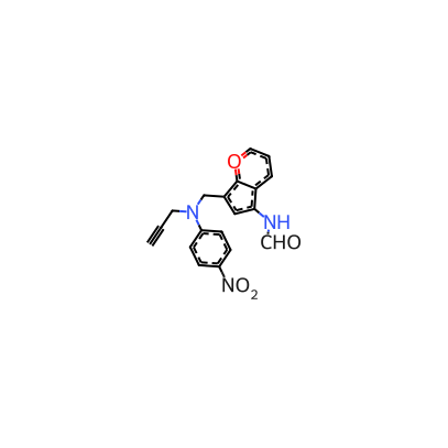 C#CCN(Cc1cc(NC=O)c2cccoc1-2)c1ccc([N+](=O)[O-])cc1